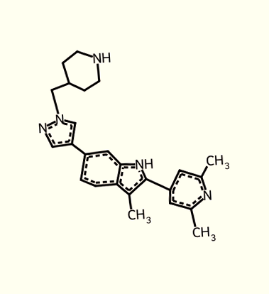 Cc1cc(-c2[nH]c3cc(-c4cnn(CC5CCNCC5)c4)ccc3c2C)cc(C)n1